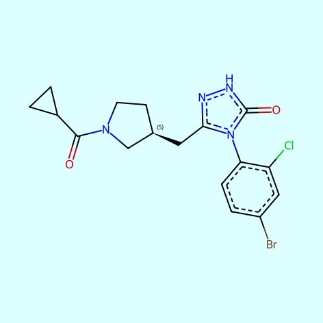 O=C(C1CC1)N1CC[C@@H](Cc2n[nH]c(=O)n2-c2ccc(Br)cc2Cl)C1